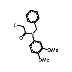 COc1ccc(N(Cc2ccccc2)C(=O)CCl)cc1OC